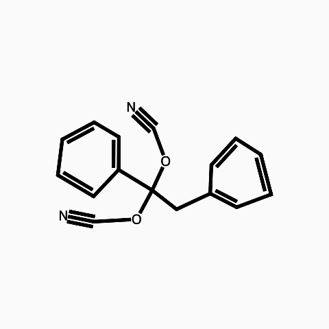 N#COC(Cc1ccccc1)(OC#N)c1ccccc1